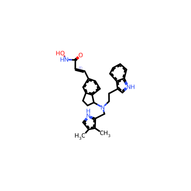 Cc1c[nH]c(CN(CCc2c[nH]c3ccccc23)C2CCc3cc(/C=C/C(=O)NO)ccc32)c1C